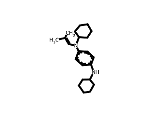 CC(C)=CN(c1ccc(NC2CCCCC2)cc1)C1CCCCC1